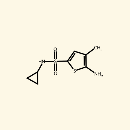 Cc1cc(S(=O)(=O)NC2CC2)sc1N